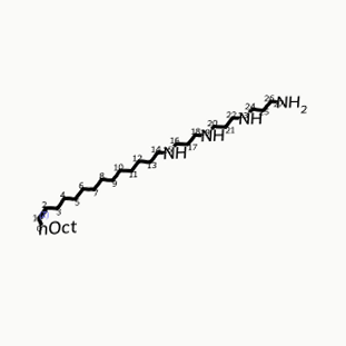 CCCCCCCC/C=C\CCCCCCCCCCCCNCCCNCCCNCCCN